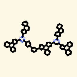 c1cc(-c2ccc(-c3nc(-c4ccc5c(ccc6ccccc65)c4)nc(-c4ccc5c6ccccc6c6ccccc6c5c4)n3)cc2)cc(-c2ccc3c4ccc(-c5cc(-c6ccc7c8ccccc8c8ccccc8c7c6)nc(-c6ccc7c(ccc8ccccc87)c6)n5)cc4c4ccccc4c3c2)c1